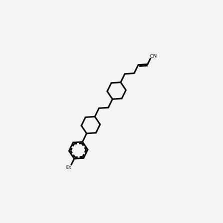 CCc1ccc(C2CCC(CCC3CCC(CCC=CC#N)CC3)CC2)cc1